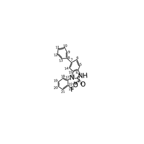 O=S1(=O)Nc2ccc(-c3ccccc3)cc2N1c1ccccc1F